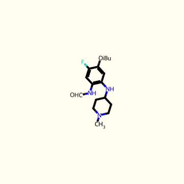 CC(C)COc1cc(NC2CCN(C)CC2)c(NC=O)cc1F